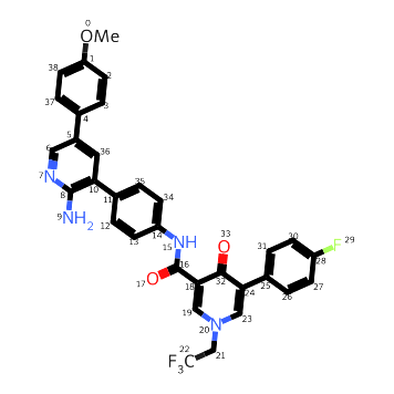 COc1ccc(-c2cnc(N)c(-c3ccc(NC(=O)c4cn(CC(F)(F)F)cc(-c5ccc(F)cc5)c4=O)cc3)c2)cc1